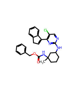 CC1(NC(=O)OCc2ccccc2)CCCC(Nc2ncc(Cl)c(C3=CCc4ccccc43)n2)C1